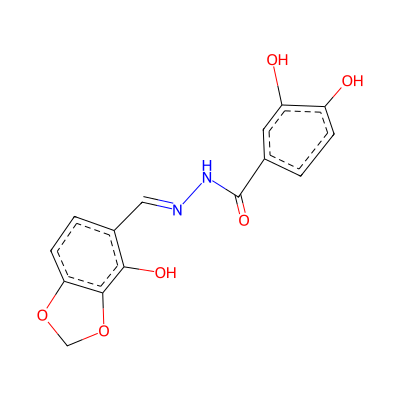 O=C(NN=Cc1ccc2c(c1O)OCO2)c1ccc(O)c(O)c1